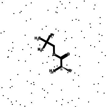 CC(C)[C@H](N)C(=O)OCC(C)(C)C(C)C